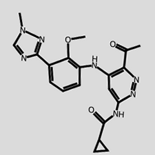 COc1c(Nc2cc(NC(=O)C3CC3)nnc2C(C)=O)cccc1-c1ncn(C)n1